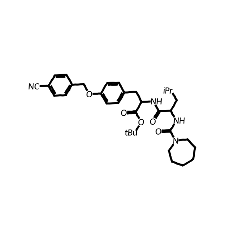 CC(C)CC(NC(=O)N1CCCCCC1)C(=O)NC(Cc1ccc(OCc2ccc(C#N)cc2)cc1)C(=O)OC(C)(C)C